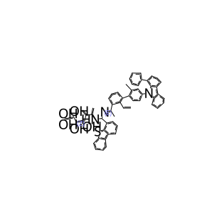 C=Cc1c(/C(C)=N/C(NC(=C)C(=C)/C(O)=C(/O)C(O)=C(O)O)c2cccc3c2sc2ccccc23)cccc1-c1ccc(-n2c3ccccc3c3cccc(-c4ccccc4)c32)cc1C